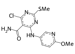 COc1ccc(Nc2nc(SC)nc(Cl)c2C(N)=O)cn1